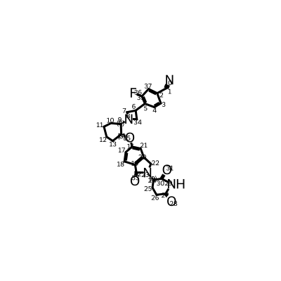 N#Cc1ccc(C2CN([C@@H]3CCCC[C@@H]3Oc3ccc4c(c3)CN([C@@H]3CCC(=O)NC3=O)C4=O)C2)c(F)c1